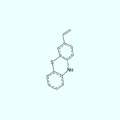 C=Cc1ccc2c(c1)Sc1ccccc1N2